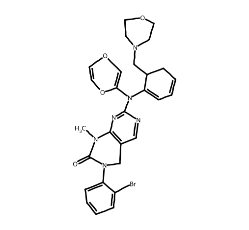 CN1C(=O)N(c2ccccc2Br)Cc2cnc(N(C3=COC=CO3)C3=CC=CCC3CN3CCOCC3)nc21